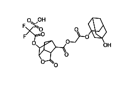 O=C(COC(=O)C1C2CC3C(OC(=O)C31)C2OC(=O)C(F)(F)S(=O)(=O)O)OC12CC3CC(CC(O)(C3)C1)C2